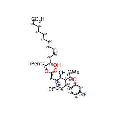 CCCCCC(OC(=O)CN1C(C)C(C(=O)OC)[C@@H](c2ccc(F)cc2)C[C@H]1CC)C(O)C/C=C\CCCCCCCC(=O)O